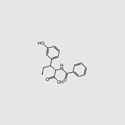 CCC(c1cccc(O)c1)C(NC(=O)c1ccccc1)C(=O)O